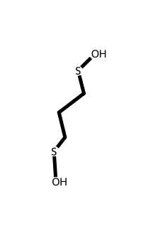 OSCCCSO